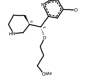 COCCCO[C@@H](c1cc(Cl)ccn1)[C@@H]1CCCNC1